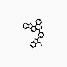 CCn1c(-c2cccc(-c3nc4ccccc4c4c3ccc3c5ccccc5sc34)c2)nc2ccccc21